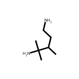 CC(CCN)C(C)(C)N